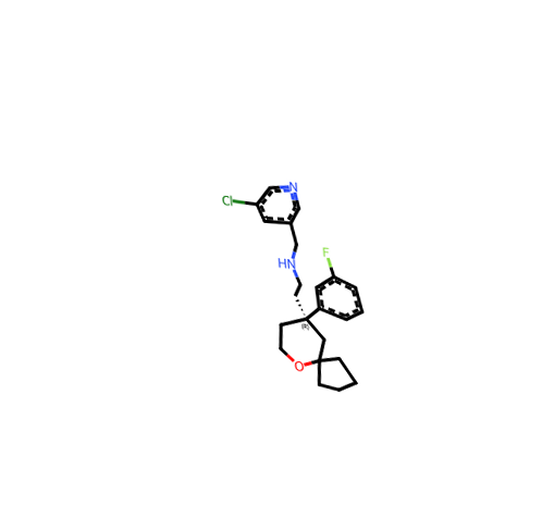 Fc1cccc([C@]2(CCNCc3cncc(Cl)c3)CCOC3(CCCC3)C2)c1